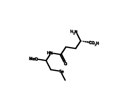 COC(C[Se]C)NC(=O)CC[C@H](N)C(=O)O